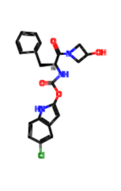 O=C(N[C@@H](Cc1ccccc1)C(=O)N1CC(O)C1)Oc1cc2cc(Cl)ccc2[nH]1